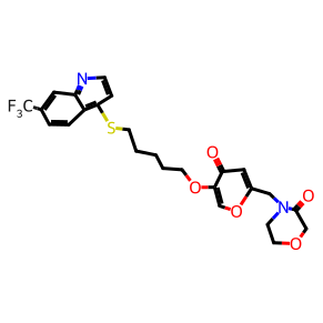 O=C1COCCN1Cc1cc(=O)c(OCCCCCSc2ccnc3cc(C(F)(F)F)ccc23)co1